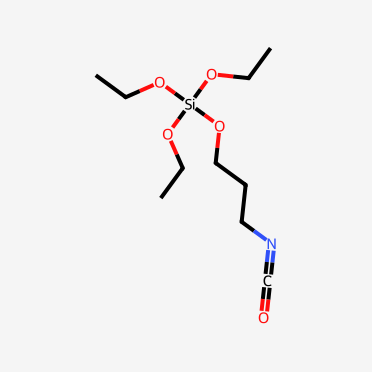 CCO[Si](OCC)(OCC)OCCCN=C=O